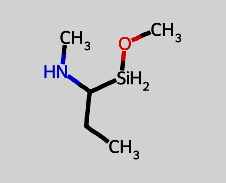 CCC(NC)[SiH2]OC